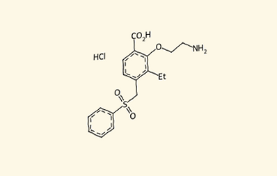 CCc1c(CS(=O)(=O)c2ccccc2)ccc(C(=O)O)c1OCCN.Cl